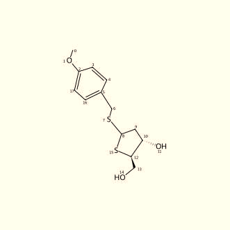 COc1ccc(CSC2C[C@H](O)[C@@H](CO)S2)cc1